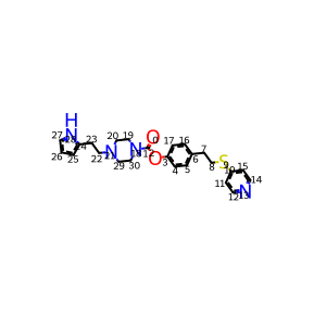 O=C(Oc1ccc(CCSc2ccncc2)cc1)N1CCN(CCc2ccc[nH]2)CC1